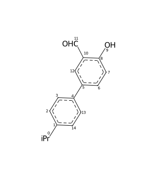 CC(C)c1ccc(-c2ccc(O)c(C=O)c2)cc1